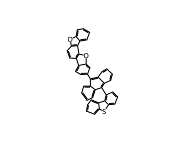 c1ccc2c(c1)oc1ccc3c4ccc(-c5c6ccccc6c(-c6cccc7sc8ccccc8c67)c6ccccc56)cc4oc3c12